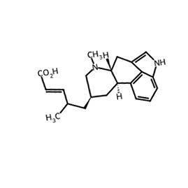 CC(/C=C/C(=O)O)C[C@@H]1C[C@@H]2c3cccc4[nH]cc(c34)C[C@H]2N(C)C1